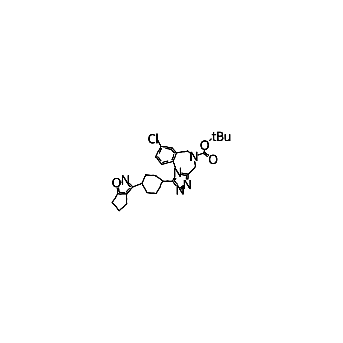 CC(C)(C)OC(=O)N1Cc2cc(Cl)ccc2-n2c(nnc2C2CCC(c3noc4c3CCC4)CC2)C1